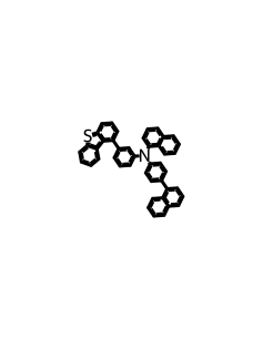 c1cc(-c2cccc3sc4ccccc4c23)cc(N(c2ccc(-c3cccc4ccccc34)cc2)c2cccc3ccccc23)c1